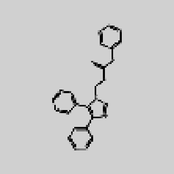 O=C(CCN1C=[N+]C(c2ccccc2)=C1c1ccccc1)Cc1ccccc1